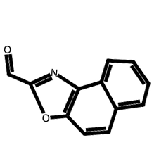 O=Cc1nc2c(ccc3ccccc32)o1